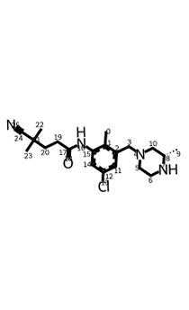 Cc1c(CN2CCN[C@@H](C)C2)cc(Cl)cc1NC(=O)CCC(C)(C)C#N